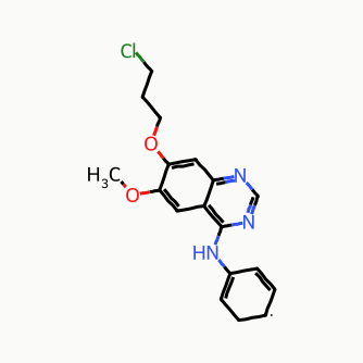 COc1cc2c(NC3=CC[CH]C=C3)ncnc2cc1OCCCCl